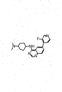 CN(C)C1CCC(Nc2ncnc3ccc(-c4ccncc4F)cc23)CC1